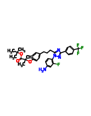 CC(C)(C)OC(=O)C(C)(C)Oc1ccc(CCCc2nc(-c3ccc(C(F)(F)F)cc3)nn2-c2ccc(N)cc2F)cc1